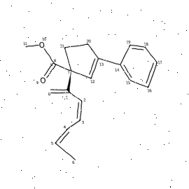 C=C(/C=C\C=C/C)[C@]1(C(=O)OC)C=C(c2ccccc2)CC1